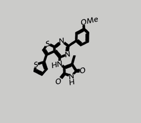 COc1cccc(-c2nc(NC3=C(C)C(=O)NC3=O)c3c(-c4cccs4)csc3n2)c1